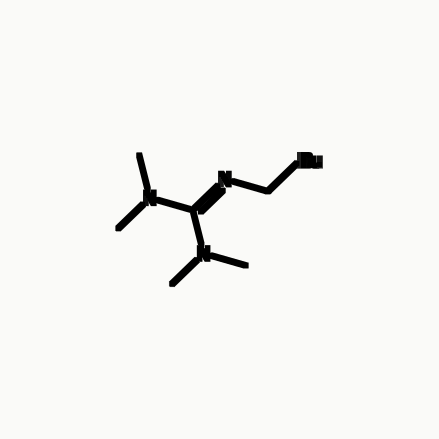 CCC(C)CN=C(N(C)C)N(C)C